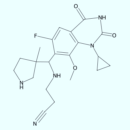 COc1c(C(NCCC#N)C2(C)CCNC2)c(F)cc2c(=O)[nH]c(=O)n(C3CC3)c12